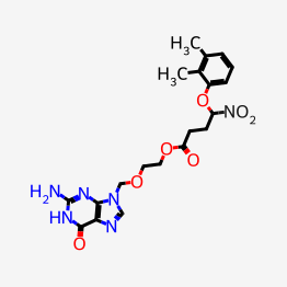 Cc1cccc(OC(CCC(=O)OCCOCn2cnc3c(=O)[nH]c(N)nc32)[N+](=O)[O-])c1C